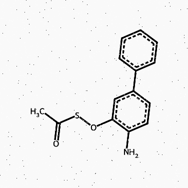 CC(=O)SOc1cc(-c2ccccc2)ccc1N